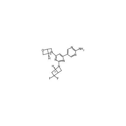 Nc1ncc(-c2cc(N3CC4OC[C@H]43)nc(N3CC4[C@@H]3CC4(F)F)n2)cn1